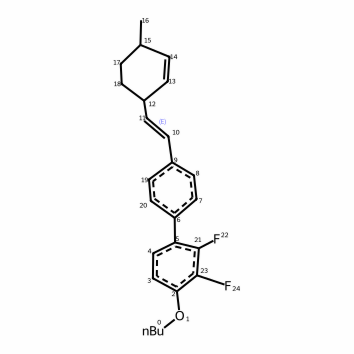 CCCCOc1ccc(-c2ccc(/C=C/C3C=CC(C)CC3)cc2)c(F)c1F